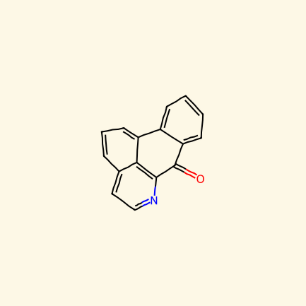 O=C1c2ccccc2-c2cccc3ccnc1c23